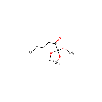 CCCCC(=O)[Si](OC)(OC)OC